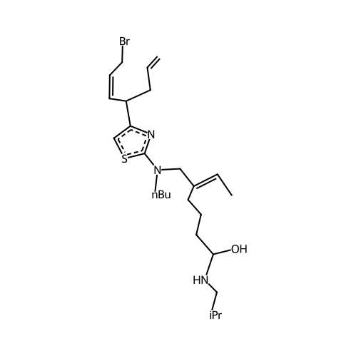 C=CCC(/C=C\CBr)c1csc(N(CCCC)C/C(=C/C)CCCC(O)NCC(C)C)n1